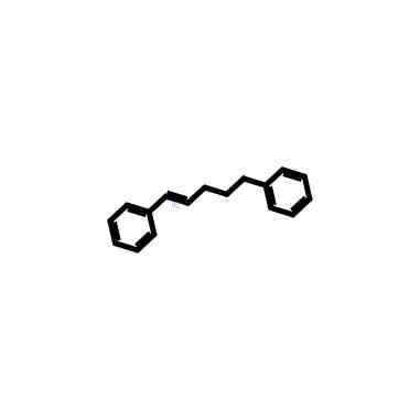 [CH](CC/C=C/c1ccccc1)c1ccccc1